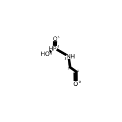 O=CCN[PH](=O)O